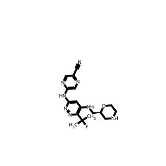 CC(C)(F)c1nnc(Nc2cnc(C#N)cn2)cc1NC[C@@H]1CNCCO1